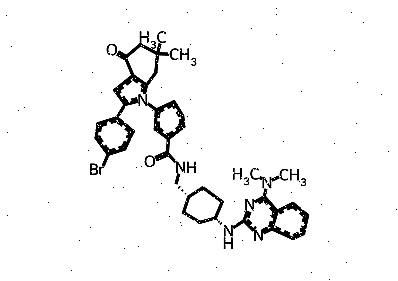 CN(C)c1nc(N[C@H]2CC[C@@H](CNC(=O)c3cccc(-n4c(-c5ccc(Br)cc5)cc5c4CC(C)(C)CC5=O)c3)CC2)nc2ccccc12